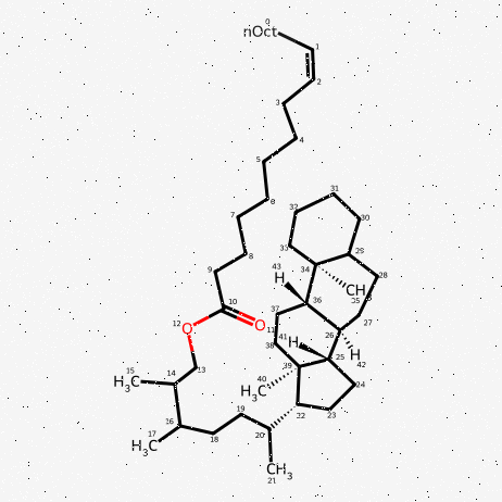 CCCCCCCC/C=C\CCCCCCCC(=O)OCC(C)C(C)CCC(C)[C@H]1CC[C@H]2[C@@H]3CCC4CCCC[C@]4(C)[C@H]3CC[C@]12C